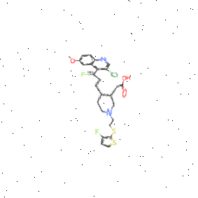 COc1ccc2ncc(Cl)c([C@H](F)CCC3CCN(CCSc4sccc4F)CC3CC(=O)O)c2c1